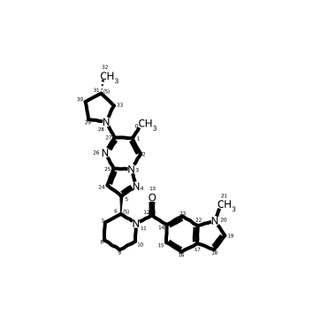 Cc1cn2nc([C@@H]3CCCCN3C(=O)c3ccc4ccn(C)c4c3)cc2nc1N1CC[C@H](C)C1